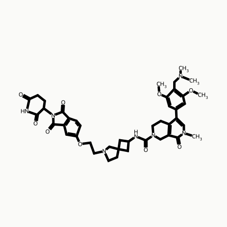 COc1cc(-c2cn(C)c(=O)c3c2CCN(C(=O)NC2CC4(CCN(CCOc5ccc6c(c5)C(=O)N(C5CCC(=O)NC5=O)C6=O)C4)C2)C3)cc(OC)c1CN(C)C